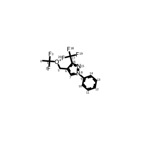 CC(F)(F)OCc1cn(-c2ccccc2)nc1C(F)(F)F